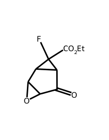 CCOC(=O)C1(F)C2C(=O)C3OC3C21